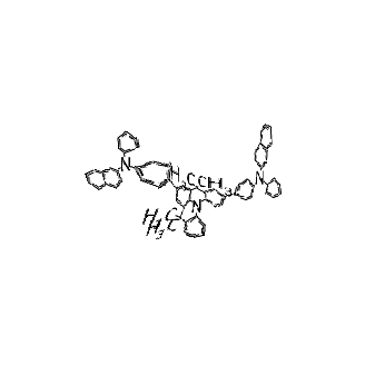 CC1(C)c2ccccc2N2c3ccc(-c4ccc(N(c5ccccc5)c5ccc6ccccc6c5)cc4)cc3C(C)(C)c3cc(-c4ccc(N(c5ccccc5)c5ccc6ccccc6c5)cc4)cc1c32